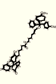 COc1ccc(C(OCCCCCCNC(=O)CCCCc2cc3c(cc2O)Oc2cc(O)ccc2C32OC(=O)c3ccccc32)(c2ccccc2)c2ccc(OC)cc2)cc1